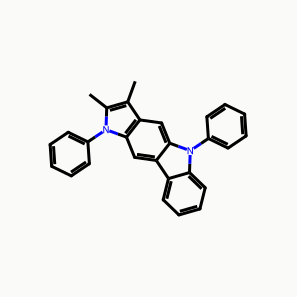 Cc1c(C)n(-c2ccccc2)c2cc3c4ccccc4n(-c4ccccc4)c3cc12